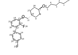 CCCCCCO[C@H]1CC[C@H](COc2[c]ccc(-c3ccc(F)cc3)c2F)CC1